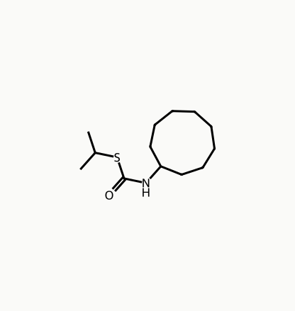 CC(C)SC(=O)NC1CCCCCCCC1